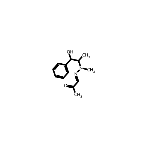 CC(=O)C=NN(C)C(C)C(O)c1ccccc1